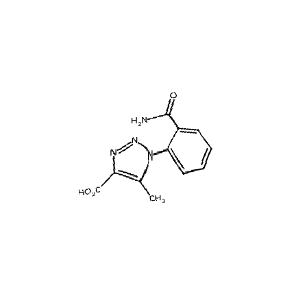 Cc1c(C(=O)O)nnn1-c1ccccc1C(N)=O